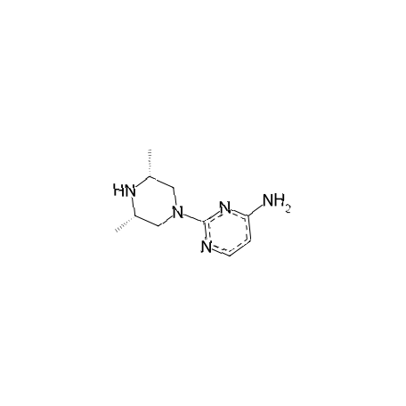 C[C@@H]1CN(c2nccc(N)n2)C[C@H](C)N1